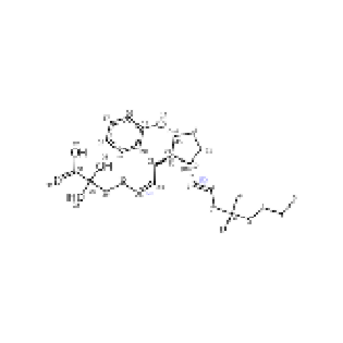 CCCCC(C)(C)C/C=C/[C@H]1CC[C@@H](Oc2ccccc2)[C@@H]1C/C=C\CCC(O)(O)C(=O)O